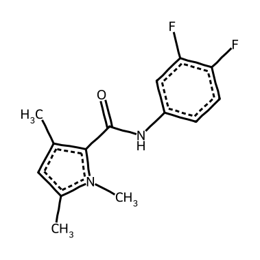 Cc1cc(C)n(C)c1C(=O)Nc1ccc(F)c(F)c1